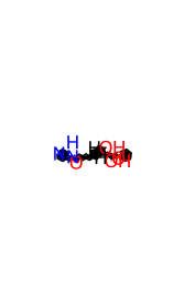 O=C(CCCCC1=C[C@H]2C[C@@H](O)[C@H](/C=C/[C@@H](O)COc3ccccc3)[C@H]2C1)NCc1ccncc1